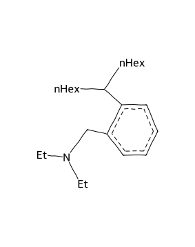 CCCCCCC(CCCCCC)c1ccccc1CN(CC)CC